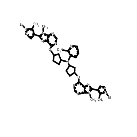 CCn1ncc(-c2nc3c(OC4CCC(N(c5cccnc5[N+](=O)[O-])C5CCC(Oc6ncnc7c6nc(-c6cnn(CC)c6C)n7C)C5)C4)ncnc3n2C)c1C